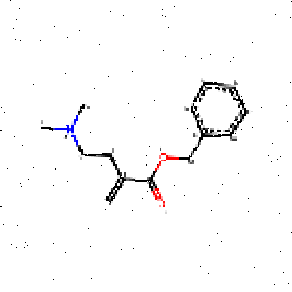 C=C(CCN(C)C)C(=O)OCc1ccccc1